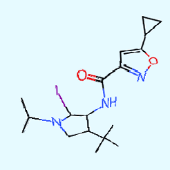 CC(C)N1CC(C(C)(C)C)C(NC(=O)c2cc(C3CC3)on2)C1I